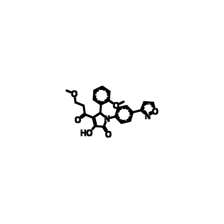 COCCC(=O)C1=C(O)C(=O)N(c2ccc(-c3ccon3)cc2)C1c1ccccc1OC